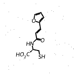 O=C(C=Cc1ccco1)N[C@@H](CS)C(=O)O